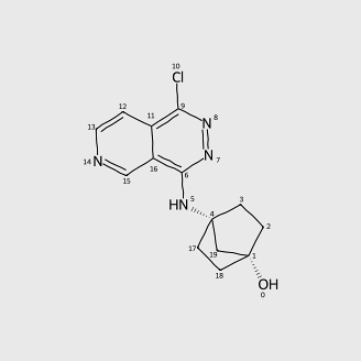 O[C@]12CC[C@](Nc3nnc(Cl)c4ccncc34)(CC1)C2